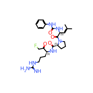 CC(C)=C[C@H](NC(=O)Nc1ccccc1)C(=O)N1CCC[C@H]1C(=O)N[C@@H](CCCNC(=N)N)C(=O)CF